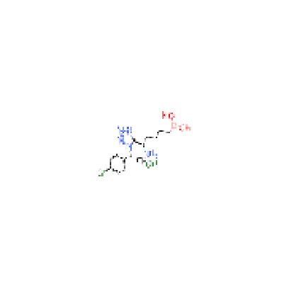 C[C@H](c1ccc(Cl)cc1)n1nnnc1C(N)CCCCB(O)O.Cl